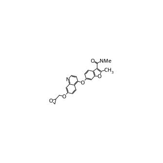 CNC(=O)c1c(C)oc2cc(Oc3ccnc4cc(OCC5CO5)ccc34)ccc12